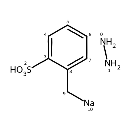 NN.O=S(=O)(O)c1ccccc1[CH2][Na]